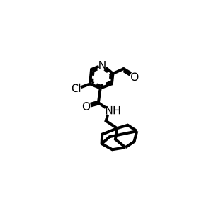 O=Cc1cc(C(=O)NCC23CC4CC(CC(C4)C2)C3)c(Cl)cn1